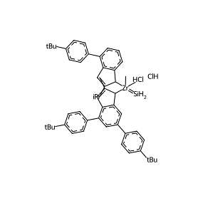 CC1=Cc2c(-c3ccc(C(C)(C)C)cc3)cc(-c3ccc(C(C)(C)C)cc3)cc2[CH]1[Zr]([CH3])([CH3])(=[SiH2])[CH]1C(C(C)C)=Cc2c(-c3ccc(C(C)(C)C)cc3)cccc21.Cl.Cl